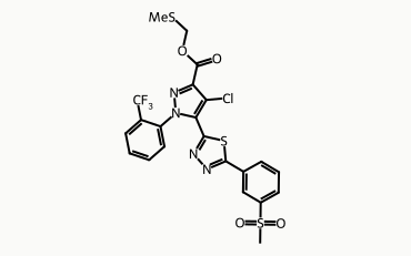 CSCOC(=O)c1nn(-c2ccccc2C(F)(F)F)c(-c2nnc(-c3cccc(S(C)(=O)=O)c3)s2)c1Cl